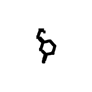 NN=C1CCOC(=O)O1